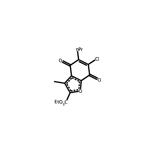 CCCC1=C(Cl)C(=O)c2oc(C(=O)OCC)c(C)c2C1=O